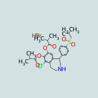 Br.CC(C)CS(=O)(=O)c1ccc(C2CNCCc3c2cc(OC(=O)C(C)C)c(OC(=O)C(C)C)c3Cl)cc1